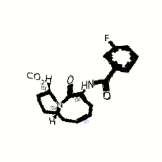 O=C(N[C@H]1C/C=C\C[C@@H]2CC[C@@H](C(=O)O)N2C1=O)c1cccc(F)c1